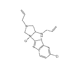 C=CCNC1CN(CC=C)C[N+]1([O-])c1nc2ccc(Cl)cc2s1